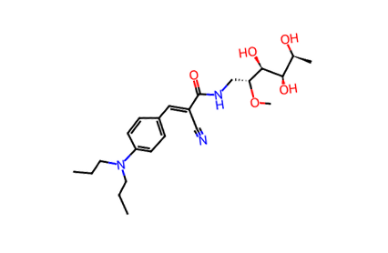 CCCN(CCC)c1ccc(/C=C(\C#N)C(=O)NC[C@@H](OC)[C@@H](O)[C@H](O)[C@H](C)O)cc1